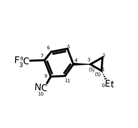 CC[C@H]1C[C@@H]1c1ccc(C(F)(F)F)c(C#N)c1